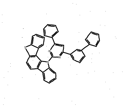 c1ccc(-c2cccc(-c3cc(-c4ccccc4)nc(-n4c5ccccc5c5ccc6sc7ccccc7c6c54)n3)c2)cc1